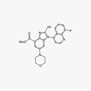 CCCc1nc2c(C(=O)OC)cc(N3CCOCC3)cc2n1-c1ccnc2c(F)cccc12